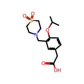 CC(C)Oc1ccc(CC(=O)O)cc1CN1CCS(=O)(=O)CC1